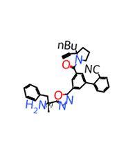 C#CC1(CCCC)CCCN1C(=O)c1cc(-c2nnc([C@](C)(N)Cc3ccccc3)o2)cc(-c2ccccc2C#N)c1